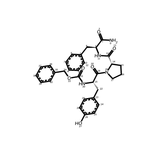 NC(=O)[C@H](Cc1ccccc1)NC(=O)[C@@H]1CCCN1C(=O)[C@H](Cc1ccc(O)cc1)NC(=O)OCc1ccccc1